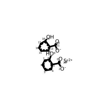 O=C([O-])c1ccccc1O.O=C([O-])c1ccccc1O.[Sr+2]